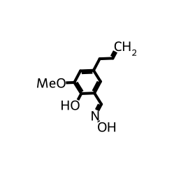 C=CCc1cc(C=NO)c(O)c(OC)c1